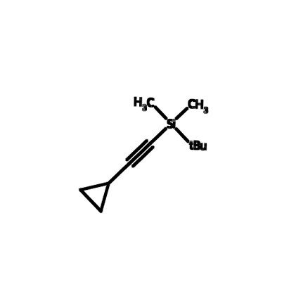 CC(C)(C)[Si](C)(C)C#CC1CC1